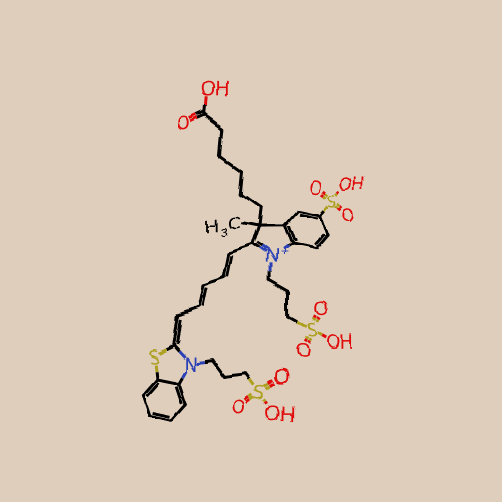 CC1(CCCCCC(=O)O)C(/C=C/C=C/C=C2/Sc3ccccc3N2CCCS(=O)(=O)O)=[N+](CCCS(=O)(=O)O)c2ccc(S(=O)(=O)O)cc21